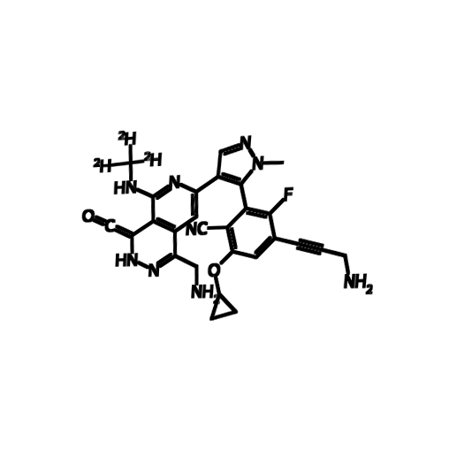 [2H]C([2H])([2H])Nc1nc(-c2cnn(C)c2-c2c(F)c(C#CCN)cc(OC3CC3)c2C#N)cc2c1C(=C=O)NN=C2CN